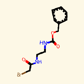 O=C(CBr)NCCNC(=O)OCc1ccccc1